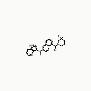 O=C(c1nccc2cc(Nc3n[nH]c4cccnc34)ccc12)N1CCCC(F)(F)C1